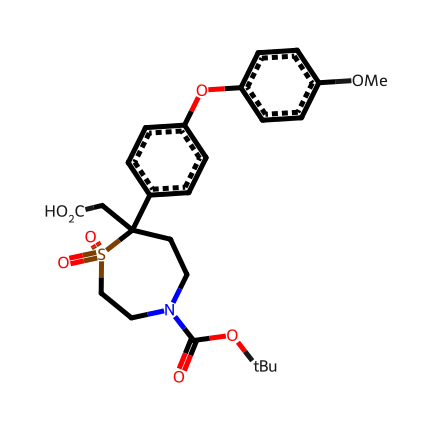 COc1ccc(Oc2ccc(C3(CC(=O)O)CCN(C(=O)OC(C)(C)C)CCS3(=O)=O)cc2)cc1